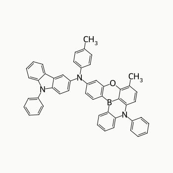 Cc1ccc(N(c2ccc3c(c2)Oc2c(C)ccc4c2B3c2ccccc2N4c2ccccc2)c2ccc3c(c2)c2ccccc2n3-c2ccccc2)cc1